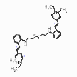 C/C=C(\C=C/NCC)/C=C/c1ccccc1NCCSSCCNc1ccccc1/C=C/C1=CC(C)N(CC)C=C1